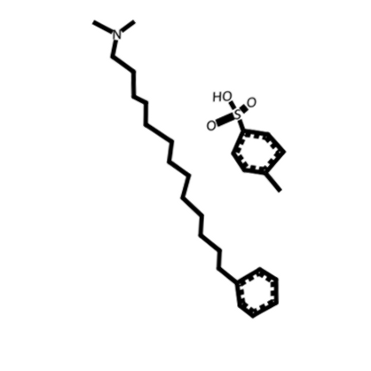 CN(C)CCCCCCCCCCCCCc1ccccc1.Cc1ccc(S(=O)(=O)O)cc1